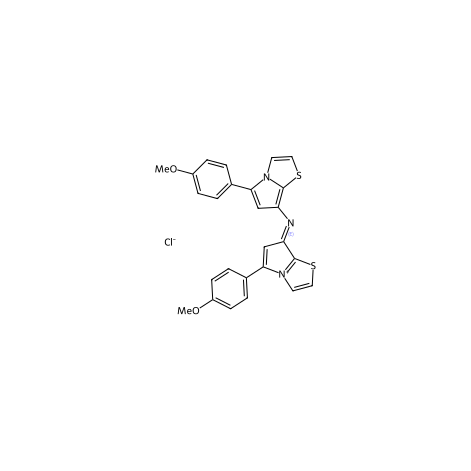 COc1ccc(C2=C/C(=N\c3cc(-c4ccc(OC)cc4)n4ccsc34)c3scc[n+]32)cc1.[Cl-]